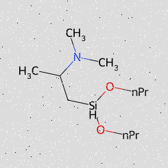 CCCO[SiH](CC(C)N(C)C)OCCC